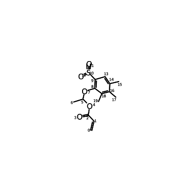 C=CC(=O)OC(C)Oc1c([SH](=O)=O)cc(C)c(C)c1C